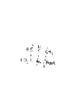 CC(=O)O.CC(C)=O.CCCCCC